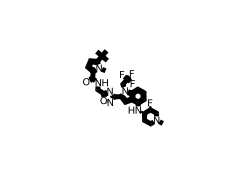 CN1CC[C@@H](Nc2cccc3c2cc(-c2noc(CNC(=O)c4ccc(C(C)(C)C)n4C)n2)n3CC(F)(F)F)[C@@H](F)C1